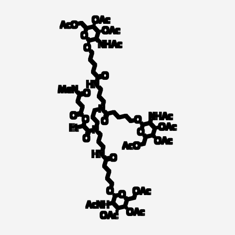 CCC(OC(=O)CCC(=O)NC)C(=O)N(CCCNC(=O)CCCCO[C@@H]1OC(COC(C)=O)[C@H](OC(C)=O)[C@H](OC(C)=O)C1NC(C)=O)CCCN(CCCNC(=O)CCCCO[C@@H]1OC(COC(C)=O)[C@H](OC(C)=O)[C@H](OC(C)=O)C1NC(C)=O)C(=O)CCCCO[C@@H]1OC(COC(C)=O)[C@H](OC(C)=O)[C@H](OC(C)=O)C1NC(C)=O